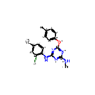 Cc1ccc(Oc2nc(Nc3ccc(C#N)cc3F)nc(NC(C)C)n2)cc1